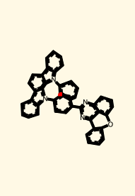 c1ccc(-n2c3ccccc3c3ccc4c5ccccc5n(-c5ccc(-c6nc7c8c(cccc8n6)Oc6ccccc6-7)cc5)c4c32)cc1